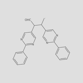 [CH2]C(c1cnc(-c2ccccc2)nc1)C(C=O)c1cnc(-c2ccccc2)nc1